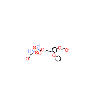 COCCCNS(=O)(=O)NC(=O)OCCCc1ccc(OCCOC)cc1OC1CCCCC1